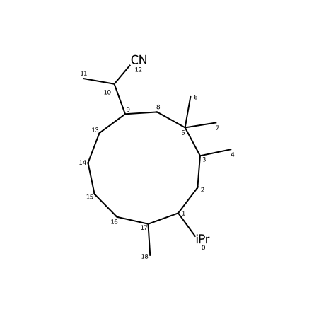 CC(C)C1CC(C)C(C)(C)CC(C(C)C#N)CCCCC1C